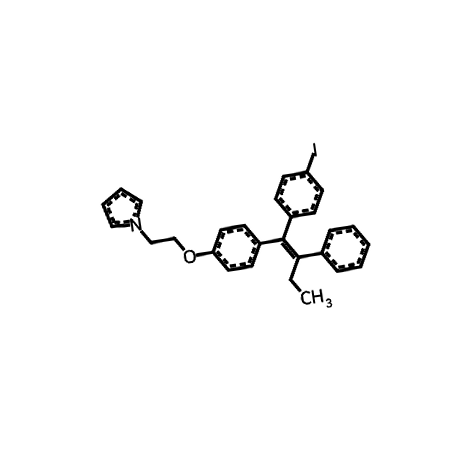 CC/C(=C(/c1ccc(I)cc1)c1ccc(OCCn2cccc2)cc1)c1ccccc1